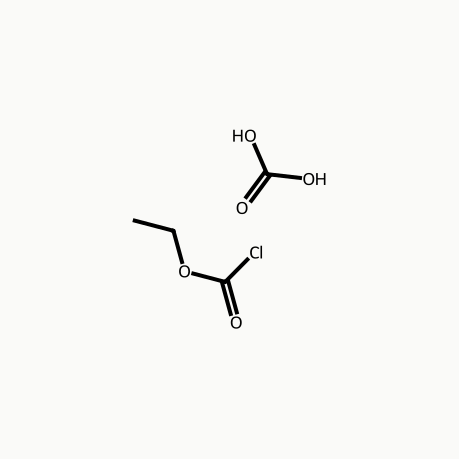 CCOC(=O)Cl.O=C(O)O